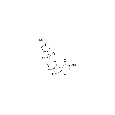 CN1CCN(S(=O)(=O)c2ccc3c(c2)C(C(=O)NN)C(=O)N3)CC1